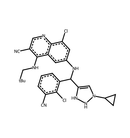 CC(C)(C)CNc1c(C#N)cnc2c(Cl)cc(NC(C3=CN(C4CC4)NN3)c3cccc(C#N)c3Cl)cc12